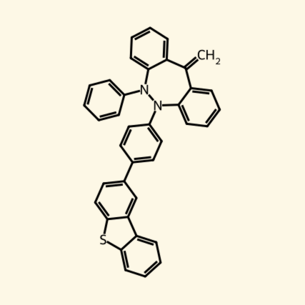 C=C1c2ccccc2N(c2ccccc2)N(c2ccc(-c3ccc4sc5ccccc5c4c3)cc2)c2ccccc21